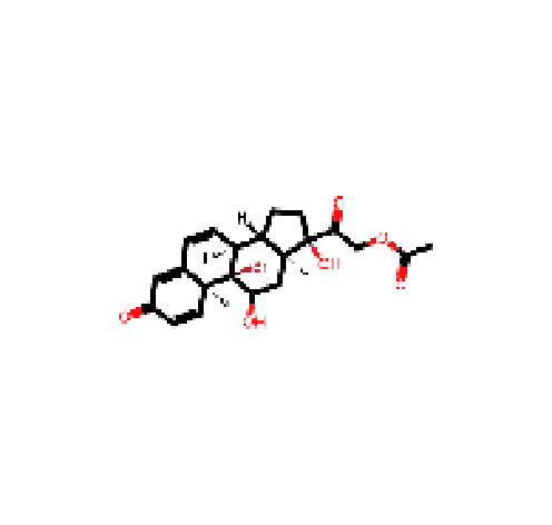 CC(=O)OCC(=O)[C@@]1(O)CC[C@H]2[C@@H]3C=CC4=CC(=O)C=C[C@]4(C)[C@@]3(Br)C(O)C[C@@]21C